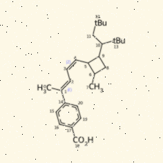 C/C(=C\C=C/C1C(C)CC1C(CC(C)(C)C)C(C)(C)C)c1ccc(C(=O)O)cc1